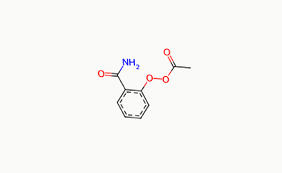 CC(=O)OOc1ccccc1C(N)=O